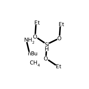 C.CCCCN.CCO[SiH](OCC)OCC